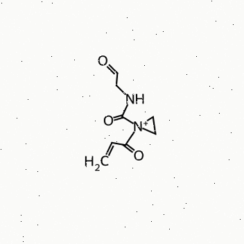 C=CC(=O)[N+]1(C(=O)NCC=O)CC1